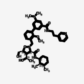 COc1c(CN2O[C@@H](CO)[C@H]([C@H](C)O)[C@H]2C(=O)N[C@H]2CCC[C@H](C)[C@@H]2C)cccc1-c1cc(C(=O)NCCc2cccnc2)cc(N(C)C)c1